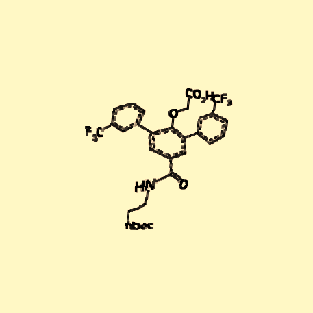 CCCCCCCCCCCCNC(=O)c1cc(-c2cccc(C(F)(F)F)c2)c(OCC(=O)O)c(-c2cccc(C(F)(F)F)c2)c1